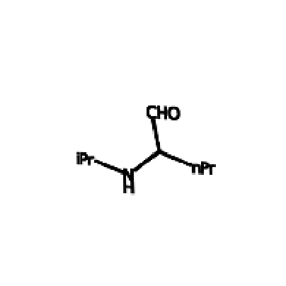 CCCC(C=O)NC(C)C